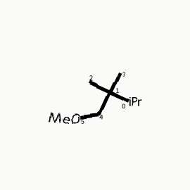 [CH2]C(C)C(C)(C)COC